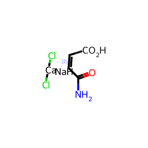 NC(=O)/C=C\C(=O)O.[Cl][Ca][Cl].[NaH]